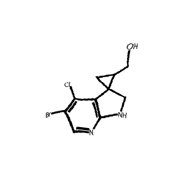 OCC1CC12CNc1ncc(Br)c(Cl)c12